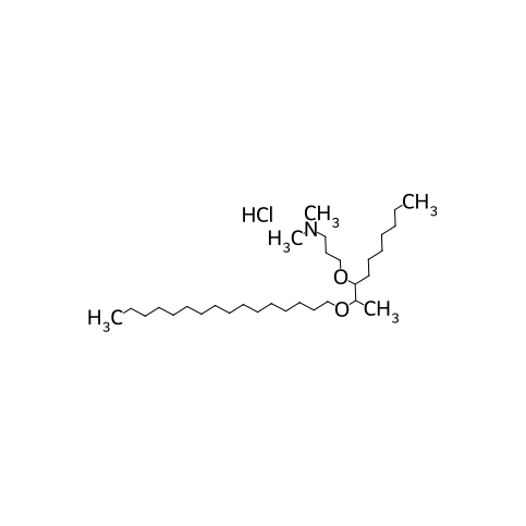 CCCCCCCCCCCCCCCCOC(C)C(CCCCCCC)OCCCN(C)C.Cl